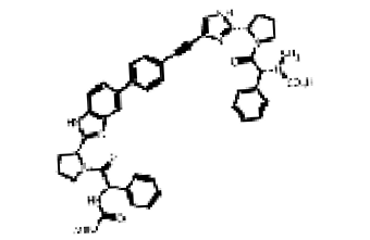 COC(=O)N[C@@H](C(=O)N1CCC[C@H]1c1nc2cc(-c3ccc(C#Cc4c[nH]c([C@@H]5CCCN5C(=O)[C@@H](c5ccccc5)N(C)C(=O)O)n4)cc3)ccc2[nH]1)c1ccccc1